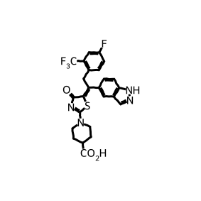 O=C1N=C(N2CCC(C(=O)O)CC2)SC1=C(Cc1ccc(F)cc1C(F)(F)F)c1ccc2[nH]ncc2c1